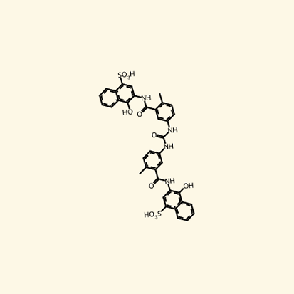 Cc1ccc(NC(=O)Nc2ccc(C)c(C(=O)Nc3cc(S(=O)(=O)O)c4ccccc4c3O)c2)cc1C(=O)Nc1cc(S(=O)(=O)O)c2ccccc2c1O